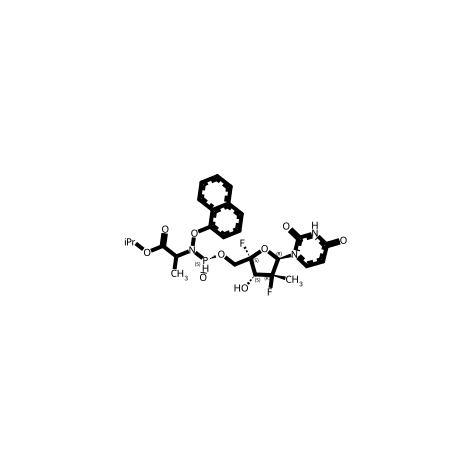 CC(C)OC(=O)C(C)N(Oc1cccc2ccccc12)[P@@H](=O)OC[C@@]1(F)O[C@@H](n2ccc(=O)[nH]c2=O)[C@](C)(F)[C@@H]1O